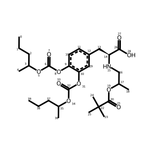 CCCC(C)OC(=O)Oc1ccc(C[C@H](NCC(C)OC(=O)C(C)(C)C)C(=O)O)cc1OC(=O)OC(C)CCC